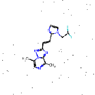 Cc1ncc(C)n2nc(C=Cc3nccn3CC(F)F)nc12